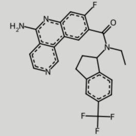 CCN(C(=O)c1cc2c(cc1F)nc(N)c1ccncc12)C1CCc2cc(C(F)(F)F)ccc21